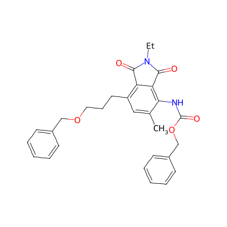 CCN1C(=O)c2c(CCCOCc3ccccc3)cc(C)c(NC(=O)OCc3ccccc3)c2C1=O